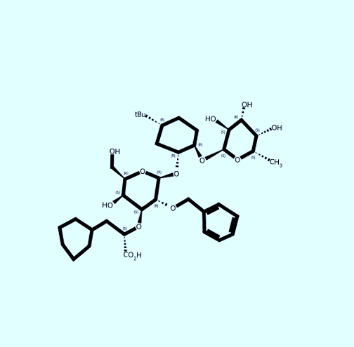 C[C@@H]1O[C@@H](O[C@@H]2CC[C@@H](C(C)(C)C)C[C@H]2O[C@@H]2O[C@H](CO)[C@H](O)[C@H](O[C@@H](CC3CCCCC3)C(=O)O)[C@H]2OCc2ccccc2)[C@@H](O)[C@H](O)[C@@H]1O